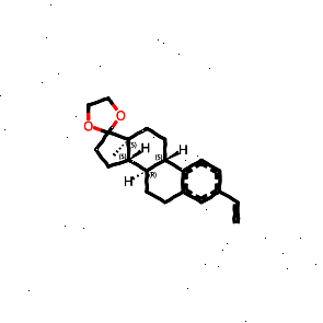 C=Cc1ccc2c(c1)CC[C@@H]1[C@@H]2CC[C@@]2(C)[C@H]1CCC21OCCO1